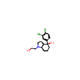 OCCN1CCC2C1CCCC2(O)c1ccc(Cl)c(Cl)c1